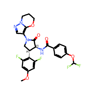 COc1cc(F)c([C@@H]2CN(c3cnn4c3OCCC4)C(=O)[C@H]2NC(=O)c2ccc(OC(F)F)cc2)c(F)c1